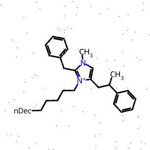 CCCCCCCCCCCCCCC[n+]1c(CC(C)c2ccccc2)cn(C)c1Cc1ccccc1